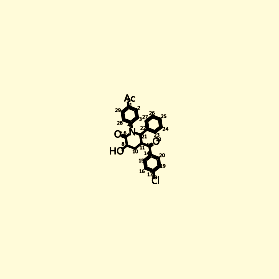 CC(=O)c1ccc(N2C(=O)C(O)CC(C(=O)c3ccc(Cl)cc3)C2c2ccccc2)cc1